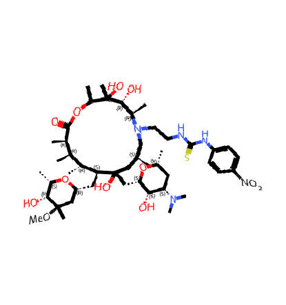 COC1(C)C[C@@H](C[C@H]2[C@H](C)[C@@H](C)[C@@H](C)C(=O)OC(C)C(C)(O)[C@H](O)[C@@H](C)N(CCNC(=S)Nc3ccc([N+](=O)[O-])cc3)C[C@@H](C)CC2(O)C[C@@H]2O[C@H](C)C[C@H](N(C)C)[C@@H]2O)O[C@@H](C)[C@H]1O